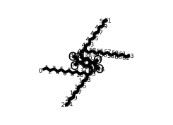 CCCCCCCCCCCCC(CCCCCCCCCC)Cn1c(=O)c(=O)c2cc3c(cc21)c(=O)c(=O)n3CC(CCCCCCCCCC)CCCCCCCCCCCC